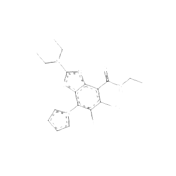 CCNC(=O)c1c(O)c(I)c(-n2cccc2)c2sc(N(CC)CC)nc12